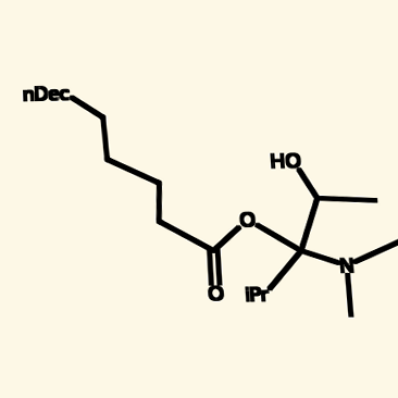 CCCCCCCCCCCCCCC(=O)OC(C(C)C)(C(C)O)N(C)C